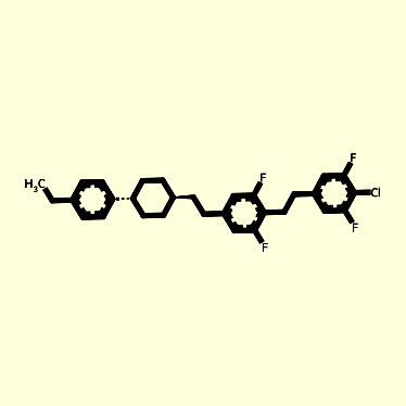 CCc1ccc([C@H]2CC[C@H](CCc3cc(F)c(CCc4cc(F)c(Cl)c(F)c4)c(F)c3)CC2)cc1